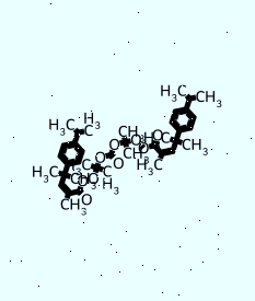 C/C(=C/C(C)(C)c1ccc(C(C)C)cc1)C(=O)OOC(C)(C)OC(=O)OC(C)(C)OOC(=O)/C(C)=C\C(C)(C)c1ccc(C(C)C)cc1